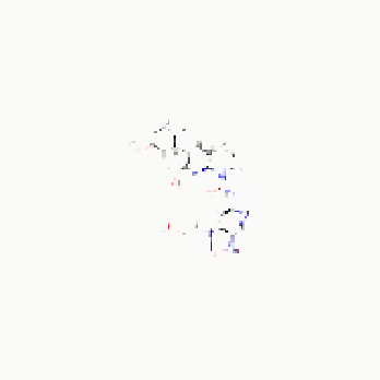 COCCNc1cc(NC(=O)N2CCCc3cc(-c4cccc(OC)c4)c(C=O)nc32)ncc1[N+](=O)[O-]